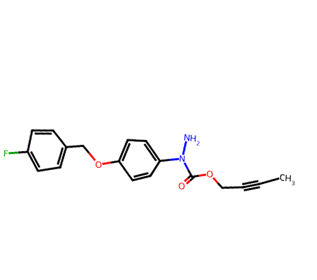 CC#CCOC(=O)N(N)c1ccc(OCc2ccc(F)cc2)cc1